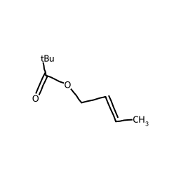 CC=CCOC(=O)C(C)(C)C